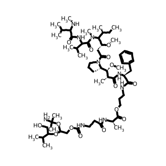 CC[C@H](C)C([C@@H](CC(=O)N1CCC[C@H]1[C@H](OC)[C@@H](C)C(=O)N[C@@H](Cc1ccccc1)C(=O)NCCCOC(=O)[C@H](C)NC(=O)CCNC(=O)OCC(OC(CO)C(C)C)OC(C)(C)N)OC)N(C)C(=O)C(NC(=O)C(NC)C(C)C)C(C)C